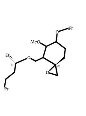 CC[C@@H](CCC(C)C)OCC1C(OC)C(OC(C)C)CC[C@]12CO2